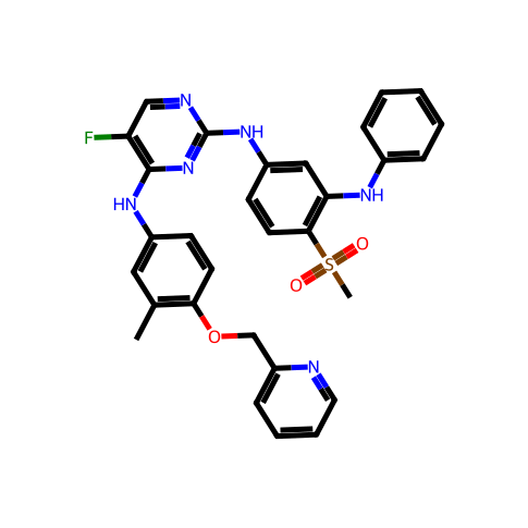 Cc1cc(Nc2nc(Nc3ccc(S(C)(=O)=O)c(Nc4ccccc4)c3)ncc2F)ccc1OCc1ccccn1